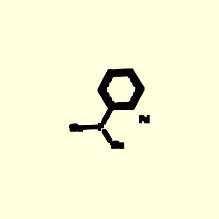 CC(C)(C)P(c1ccccc1)C(C)(C)C.[Pd]